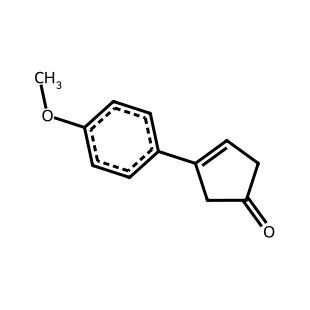 COc1ccc(C2=CCC(=O)C2)cc1